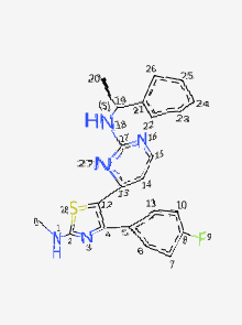 CNc1nc(-c2ccc(F)cc2)c(-c2ccnc(N[C@@H](C)c3ccccc3)n2)s1